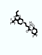 CCc1nc2c(c(C(F)(F)F)n1)CCN(CC[C@H](N)C(=O)N1CC(F)(F)CCC1=O)C2